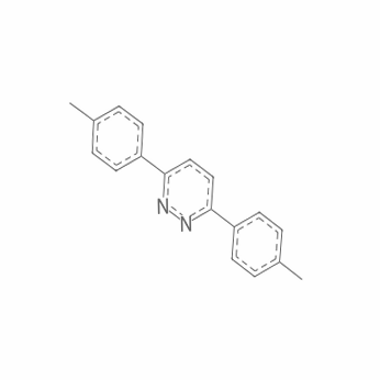 Cc1ccc(-c2ccc(-c3ccc(C)cc3)nn2)cc1